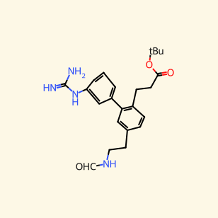 CC(C)(C)OC(=O)CCc1ccc(CCNC=O)cc1-c1cccc(NC(=N)N)c1